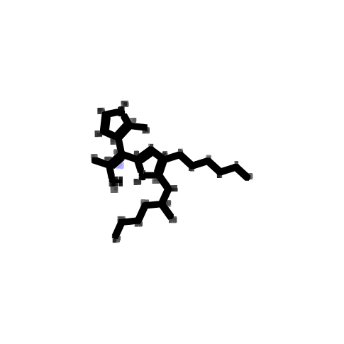 CCCCCCc1cc(/C(=C(/C)S)c2ccsc2C)sc1CC(C)CCCC